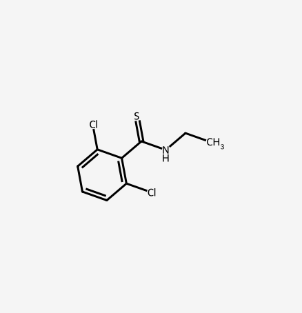 CCNC(=S)c1c(Cl)cccc1Cl